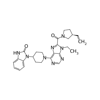 C=C[C@@H]1CCN(C(=O)c2nc3c(N4CCC(n5c(=O)[nH]c6ccccc65)CC4)ncnc3n2CC)C1